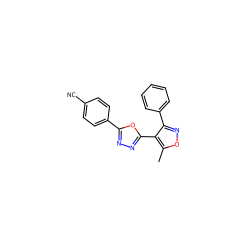 Cc1onc(-c2ccccc2)c1-c1nnc(-c2ccc(C#N)cc2)o1